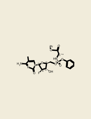 Cc1cn([C@H]2O[C@@H](CO[P@@](=O)(N[C@@H](C)C(=O)OC(C)C)Oc3ccccc3)[C@H](O)[C@H]2F)c(=O)nc1N